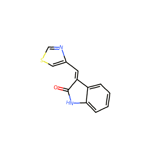 O=C1Nc2ccccc2C1=Cc1cscn1